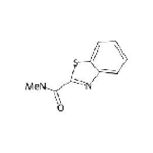 [CH2-][NH2+]C(=O)c1nc2ccccc2s1